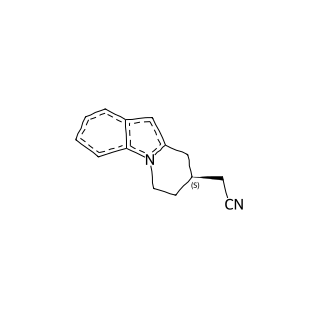 N#CC[C@H]1CCn2c(cc3ccccc32)C1